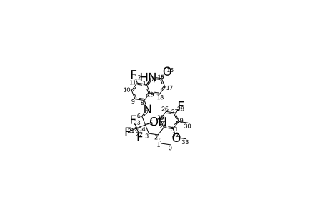 CC[C@H](C[C@@](O)(C=Nc1ccc(F)c2[nH]c(=O)ccc12)C(F)(F)F)c1ccc(F)c(C)c1OC